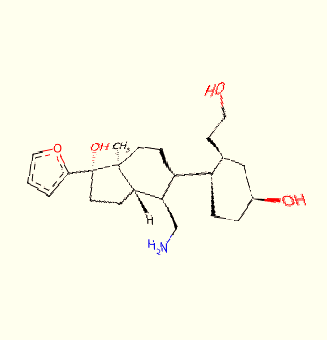 C[C@]12CC[C@@H]([C@@H]3CC[C@H](O)C[C@@H]3CCO)[C@@H](CN)[C@@H]1CC[C@@]2(O)c1ccco1